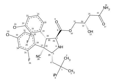 CC(C)C(C)(C)C[C@H]1N[C@H](C(=O)OC[C@@H](O)CC(N)=O)[C@@H](c2cccc(Cl)c2F)[C@]1(C#N)c1ccc(Cl)cc1F